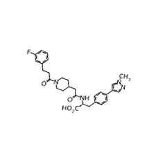 Cn1cc(-c2ccc(C[C@H](NC(=O)CC3CCN(C(=O)CCc4cccc(F)c4)CC3)C(=O)O)cc2)cn1